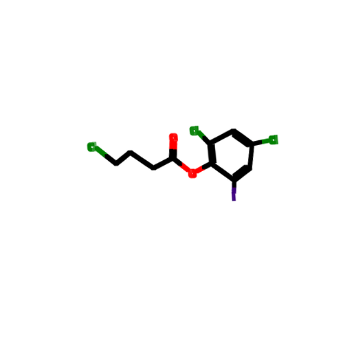 O=C(CCCCl)Oc1c(Cl)cc(Cl)cc1I